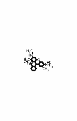 CCNc1cc2c(cc1C)C(c1ccccc1C(=O)OCC)c1cc(C)c(NCC)cc1O2